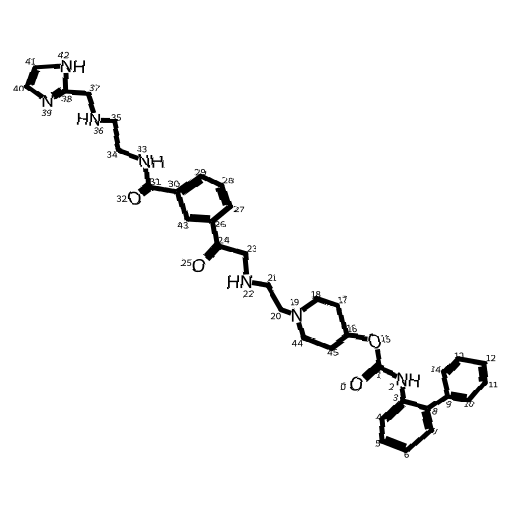 O=C(Nc1ccccc1-c1ccccc1)OC1CCN(CCNCC(=O)c2cccc(C(=O)NCCNCc3ncc[nH]3)c2)CC1